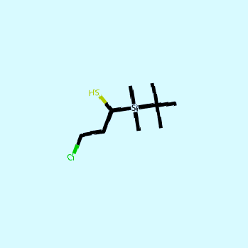 CC(C)(C)[Si](C)(C)C(S)CCCl